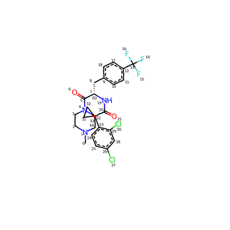 CN1CCN(C(=O)[C@H](Cc2ccc(C(F)(F)F)cc2)NC(=O)C2(c3ccc(Cl)cc3Cl)CC2)CC1